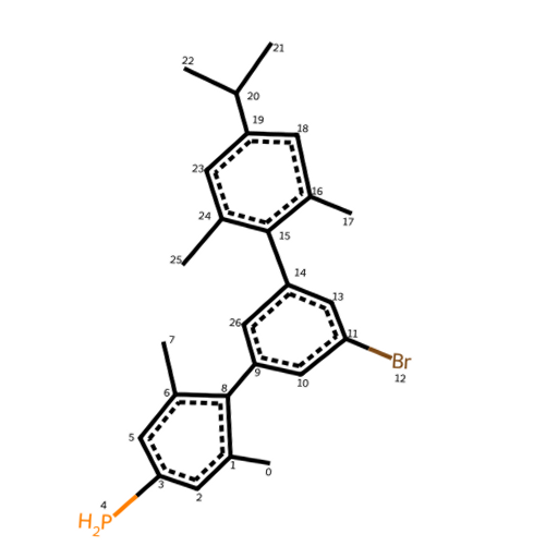 Cc1cc(P)cc(C)c1-c1cc(Br)cc(-c2c(C)cc(C(C)C)cc2C)c1